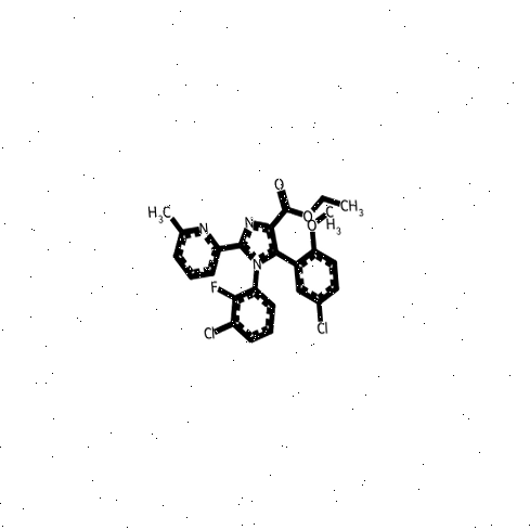 CCOC(=O)c1nc(-c2cccc(C)n2)n(-c2cccc(Cl)c2F)c1-c1cc(Cl)ccc1OC